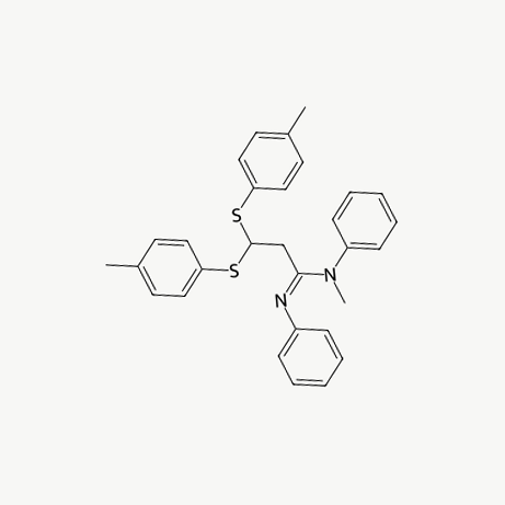 Cc1ccc(SC(CC(=Nc2ccccc2)N(C)c2ccccc2)Sc2ccc(C)cc2)cc1